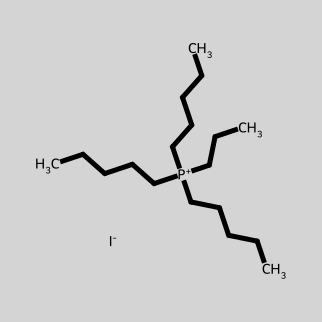 CCCCC[P+](CCC)(CCCCC)CCCCC.[I-]